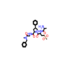 CC(N)C(=O)NC(CCS(C)(=O)=O)C(=O)N1CC(c2ccccc2)CC1C(=O)NCC(=O)N(C)Cc1ccccc1